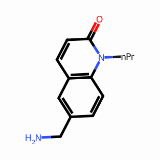 CCCn1c(=O)ccc2cc(CN)ccc21